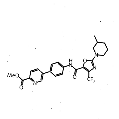 COC(=O)c1ccc(-c2ccc(NC(=O)c3oc(N4CCCC(C)C4)nc3C(F)(F)F)cc2)cn1